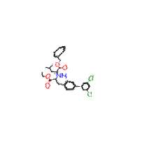 CCOC(=O)C(Cc1ccc(-c2cc(Cl)cc(Cl)c2)cc1)N[C@@H](CC(C)C)C(=O)OCc1ccccc1